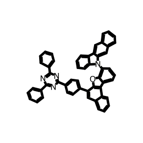 c1ccc(-c2nc(-c3ccccc3)nc(-c3ccc(-c4cc5ccccc5c5c4oc4c(-n6c7ccccc7c7cc8ccccc8cc76)cccc45)cc3)n2)cc1